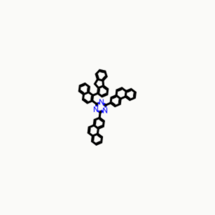 c1ccc2c(c1)Cc1c-2cccc1-c1c(-c2nc(-c3ccc4c(ccc5ccccc54)c3)nc(-c3ccc4c(ccc5ccccc54)c3)n2)ccc2ccccc12